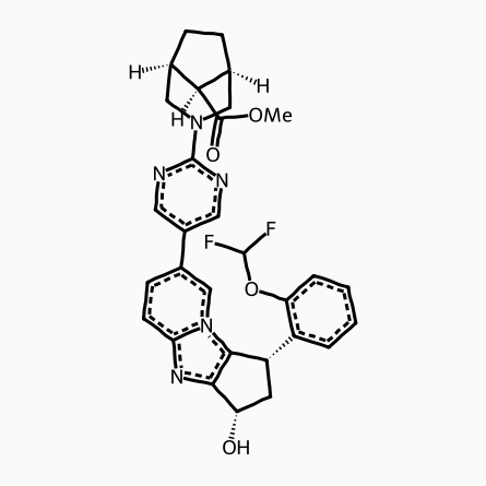 COC(=O)[C@H]1[C@@H]2CC[C@H]1CN(c1ncc(-c3ccc4nc5c(n4c3)[C@H](c3ccccc3OC(F)F)C[C@@H]5O)cn1)C2